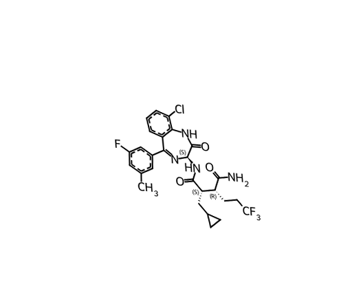 Cc1cc(F)cc(C2=N[C@H](NC(=O)[C@@H](CC3CC3)[C@@H](CCC(F)(F)F)C(N)=O)C(=O)Nc3c(Cl)cccc32)c1